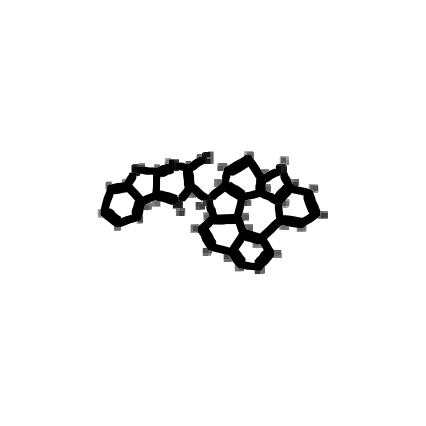 Clc1nc2sc3ccccc3c2nc1-n1c2ccc3cccc4c3c2c2c3c(ccc21)oc1cccc-4c13